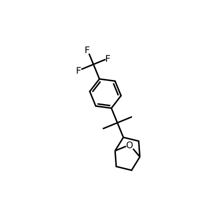 CC(C)(c1ccc(C(F)(F)F)cc1)C1CC2CCC1O2